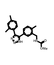 COC(=O)NCc1cc(-c2[nH]nnc2-c2ccc(C)cc2C)ccc1C